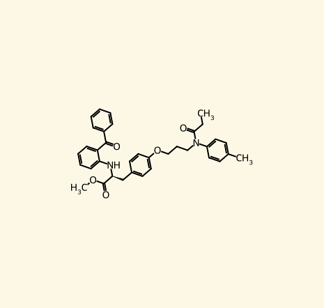 CCC(=O)N(CCCOc1ccc(C[C@H](Nc2ccccc2C(=O)c2ccccc2)C(=O)OC)cc1)c1ccc(C)cc1